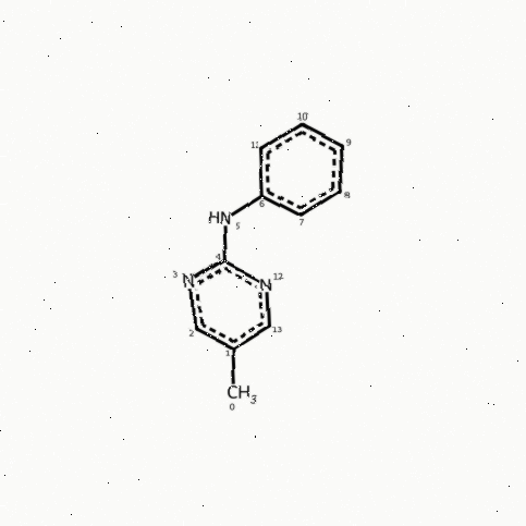 Cc1cnc(Nc2ccccc2)nc1